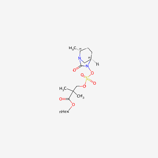 CCCCCCOC(=O)C(C)(C)COS(=O)(=O)ON1C(=O)N2C[C@H]1CC[C@H]2C